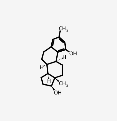 Cc1cc(O)c2c(c1)CC[C@H]1[C@@H]2CC[C@]2(C)[C@@H](O)CC[C@@H]12